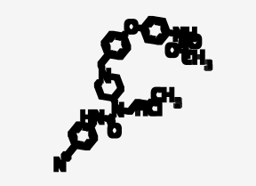 CCCCN(C(=O)Nc1ccc(C#N)cc1)C1CCN(Cc2ccc(Oc3ccc(NS(C)(=O)=O)cc3)cc2)CC1.Cl